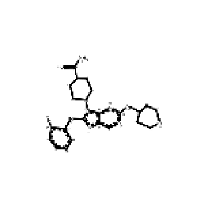 NC(=O)[C@H]1CC[C@@H](n2c(Nc3ccccc3F)nc3cnc(NC4CCOCC4)nc32)CC1